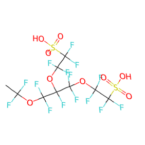 CC(F)(F)OC(F)(F)C(F)(OC(F)(F)C(F)(F)S(=O)(=O)O)C(F)(F)OC(F)(F)C(F)(F)S(=O)(=O)O